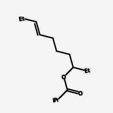 CCC=CCCCC(CC)OC(=O)C(C)C